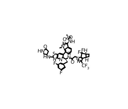 Cn1nc(NS(C)(=O)=O)c2cccc(-c3cc4sc(NC5CNC(=O)C5)nc4nc3[C@H](Cc3cc(F)cc(F)c3)NC(=O)Cn3nc(C(F)(F)F)c4c3C(F)(F)[C@@H]3CC[C@H]43)c21